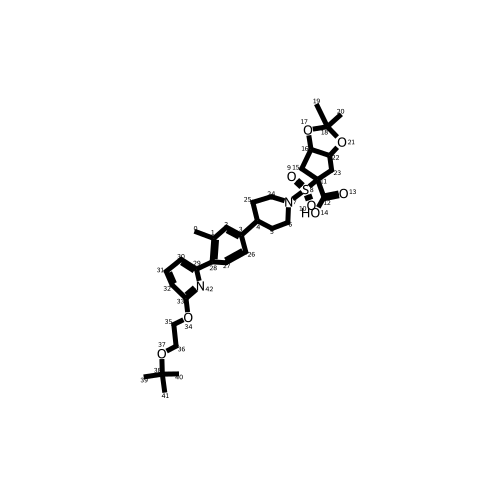 Cc1cc(C2CCN(S(=O)(=O)C3(C(=O)O)CC4OC(C)(C)OC4C3)CC2)ccc1-c1cccc(OCCOC(C)(C)C)n1